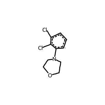 Clc1cc[c]c(N2CCOCC2)c1Cl